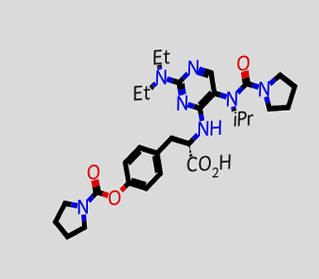 CCN(CC)c1ncc(N(C(=O)N2CCCC2)C(C)C)c(N[C@@H](Cc2ccc(OC(=O)N3CCCC3)cc2)C(=O)O)n1